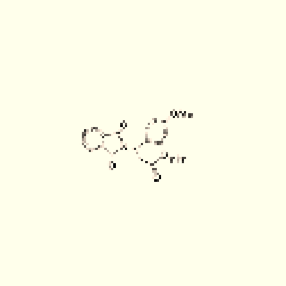 CCCOC(=O)CC(c1ccc(OC)cc1)N1C(=O)c2ccccc2C1=O